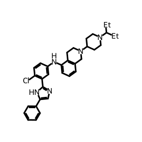 CCC(CC)N1CCC(N2CCc3c(cccc3Nc3ccc(Cl)c(-c4ncc(-c5ccccc5)[nH]4)c3)C2)CC1